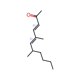 CCCCC(C)/C=C(C)/C=C/C(C)=O